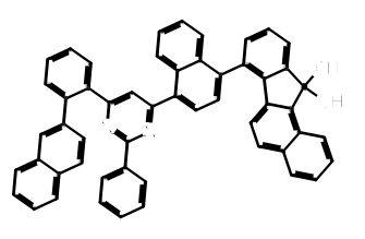 CC1(C)c2cccc(-c3ccc(-c4cc(-c5ccccc5-c5ccc6ccccc6c5)nc(-c5ccccc5)n4)c4ccccc34)c2-c2ccc3ccccc3c21